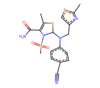 CC1=C(C(N)=O)N(S(C)(=O)=O)C(N(Cc2csc(C)n2)c2ccc(C#N)cc2)S1